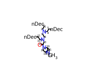 CCCCCCCCCCCCN(CCCCCCCCCCCC)CCN(CCCCCCCCCCCC)CC(=O)N1CC2CC1CN2C